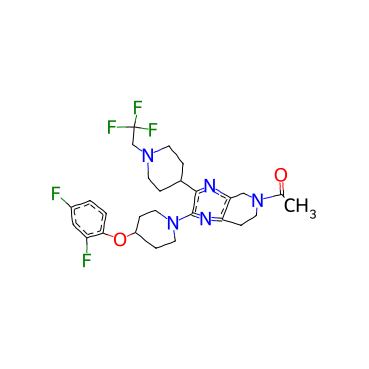 CC(=O)N1CCc2nc(N3CCC(Oc4ccc(F)cc4F)CC3)c(C3CCN(CC(F)(F)F)CC3)nc2C1